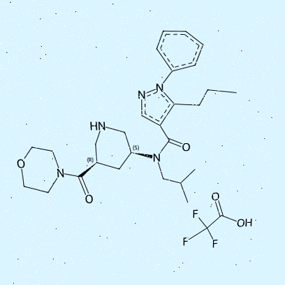 CCCc1c(C(=O)N(CC(C)C)[C@@H]2CNC[C@H](C(=O)N3CCOCC3)C2)cnn1-c1ccccc1.O=C(O)C(F)(F)F